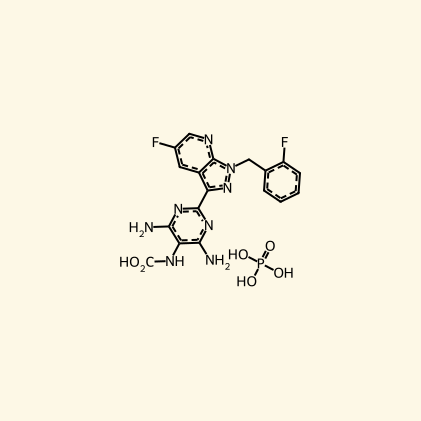 Nc1nc(-c2nn(Cc3ccccc3F)c3ncc(F)cc23)nc(N)c1NC(=O)O.O=P(O)(O)O